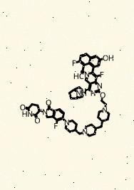 C#Cc1c(F)ccc2cc(O)cc(-c3ncc4c(N5CC6CCC(C5)N6)nc(OCCN5CCC(CC6CCN(CC7CCN(c8ccc9c(c8F)CN([C@@H]8CCC(=O)NC8=O)C9=O)CC7)CC6)CC5)nc4c3F)c12